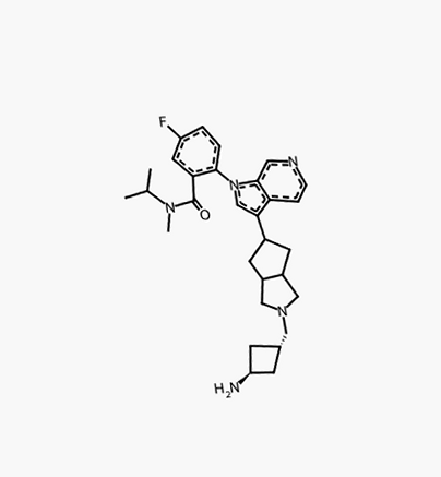 CC(C)N(C)C(=O)c1cc(F)ccc1-n1cc(C2CC3CN(C[C@H]4C[C@H](N)C4)CC3C2)c2ccncc21